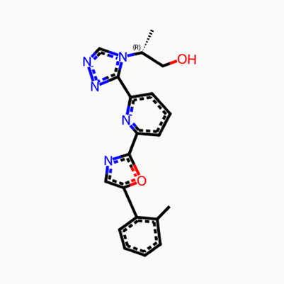 Cc1ccccc1-c1cnc(-c2cccc(-c3nncn3[C@H](C)CO)n2)o1